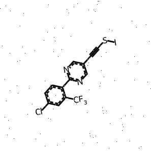 FC(F)(F)c1cc(Cl)ccc1-c1ncc(C#CSI)cn1